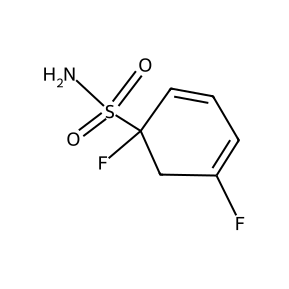 NS(=O)(=O)C1(F)C=CC=C(F)C1